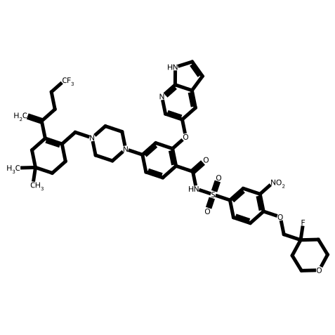 C=C(CCC(F)(F)F)C1=C(CN2CCN(c3ccc(C(=O)NS(=O)(=O)c4ccc(OCC5(F)CCOCC5)c([N+](=O)[O-])c4)c(Oc4cnc5[nH]ccc5c4)c3)CC2)CCC(C)(C)C1